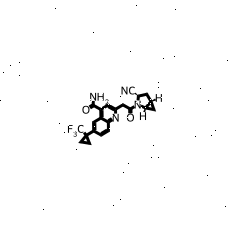 N#C[C@@H]1C[C@@H]2C[C@@H]2N1C(=O)Cc1cc(C(N)=O)c2cc(C3(C(F)(F)F)CC3)ccc2n1